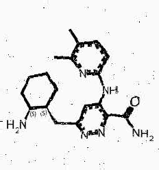 Cc1ccc(Nc2cc(C[C@@H]3CCCC[C@@H]3N)nnc2C(N)=O)nc1C